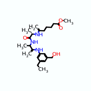 C=C(CCCCC(=O)OC)N[C@@H](C)C(=O)NC(C)C(=C)Nc1cc(CC)cc(CO)c1